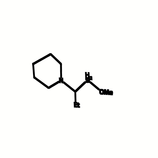 CCC([SiH2]OC)N1CCCCC1